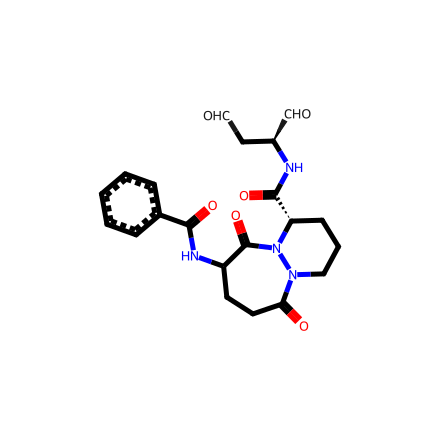 O=CC[C@@H](C=O)NC(=O)[C@@H]1CCCN2C(=O)CCC(NC(=O)c3ccccc3)C(=O)N12